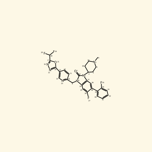 CN1CCC(n2c(=O)n(Cc3ccc(-c4nnc(C(F)F)o4)cn3)c3cc(F)c(-c4ccccc4F)cc32)CC1